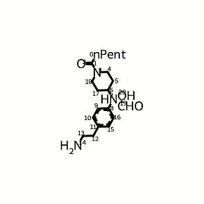 CCCCCC(=O)N1CCC(Nc2ccc(CCN)cc2)CC1.O=CO